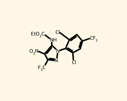 CCOC(=O)Nc1c([N+](=O)[O-])c(C(F)(F)F)nn1-c1c(Cl)cc(C(F)(F)F)cc1Cl